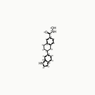 O=C(NO)c1ccc2c(c1)CCC(c1ccc3cc[nH]c3c1)C2